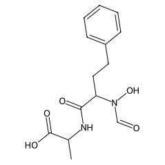 CC(NC(=O)C(CCc1ccccc1)N(O)C=O)C(=O)O